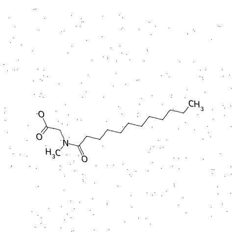 CCCCCCCCCCCC(=O)N(C)CC([O])=O